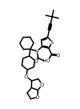 CC(=O)N(c1cc(C#CC(C)(C)C)sc1C(=O)O)C1(C2CCC(OC3COC4OCCC34)CC2)CCCCC1